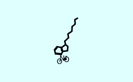 CCCCCCCCC1CCc2c1cccc2[N+](=O)[O-]